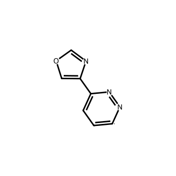 [c]1ccc(-c2cocn2)nn1